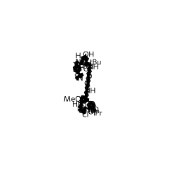 COc1cc(CCNCCOCCOCCC(=O)N[C@H](C(=O)N2C[C@H](O)CC2C(=O)N[C@@H](C)c2ccc(-c3scnc3C)cc2)C(C)(C)C)c(C)cc1Nc1ncc(Cl)c(Nc2ccccc2S(=O)(=O)C(C)C)n1